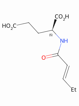 CCC=CC(=O)N[C@@H](CCC(=O)O)C(=O)O